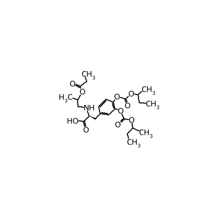 CCC(=O)OC(C)CN[C@@H](Cc1ccc(OC(=O)OC(C)CC)c(OC(=O)OC(C)CC)c1)C(=O)O